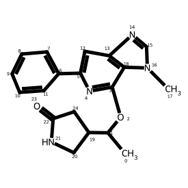 CC(Oc1nc(-c2ccccc2)cc2ncn(C)c12)C1CNC(=O)C1